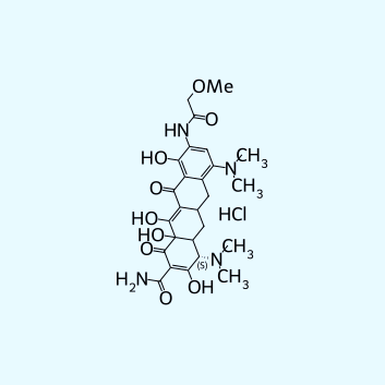 COCC(=O)Nc1cc(N(C)C)c2c(c1O)C(=O)C1=C(O)C3(O)C(=O)C(C(N)=O)=C(O)[C@@H](N(C)C)C3CC1C2.Cl